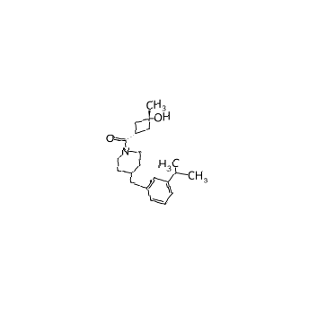 CC(C)c1cccc(CC2CCN(C(=O)[C@H]3C[C@@](C)(O)C3)CC2)c1